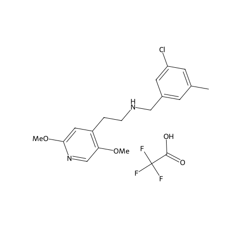 COc1cc(CCNCc2cc(C)cc(Cl)c2)c(OC)cn1.O=C(O)C(F)(F)F